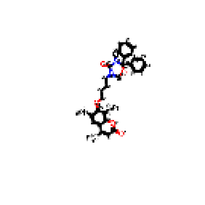 CCCc1cc2c(C(F)(F)F)cc(=O)oc2c(CCC)c1OCCCCN1COC(c2ccccc2)(c2ccccc2)N(C)C1=O